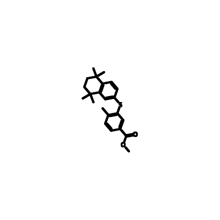 COC(=O)c1ccc(C)c(Sc2ccc3c(c2)C(C)(C)CCC3(C)C)c1